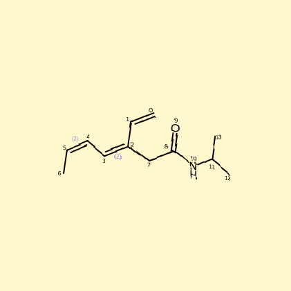 C=C/C(=C\C=C/C)CC(=O)NC(C)C